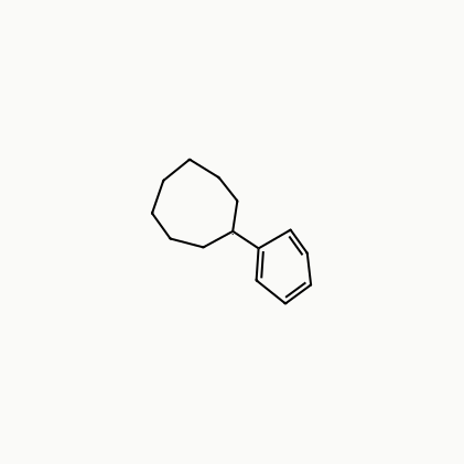 c1ccc([C]2CCCCCCC2)cc1